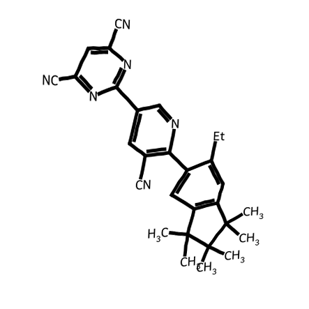 CCc1cc2c(cc1-c1ncc(-c3nc(C#N)cc(C#N)n3)cc1C#N)C(C)(C)C(C)(C)C2(C)C